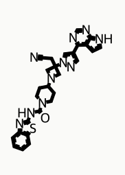 N#CCC1(n2cc(-c3ncnc4[nH]ccc34)cn2)CN(C2CCN(C(=O)Nc3nc4ccccc4s3)CC2)C1